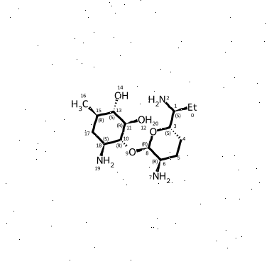 CC[C@H](N)[C@@H]1CC[C@@H](N)[C@@H](O[C@H]2[C@H](O)[C@@H](O)[C@H](C)C[C@@H]2N)O1